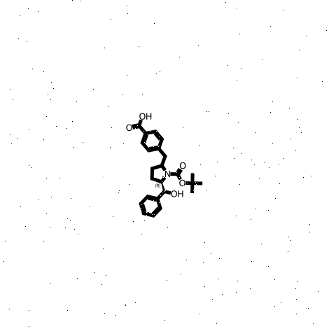 CC(C)(C)OC(=O)N1C(Cc2ccc(C(=O)O)cc2)CC[C@@H]1C(O)c1ccccc1